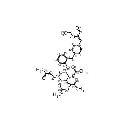 CCO/C(C=O)=C\c1ccc(Cc2ccccc2O[C@H]2O[C@H](COC(C)=O)[C@@H](OC(C)=O)[C@H](OC(C)=O)[C@H]2OC(C)=O)cc1